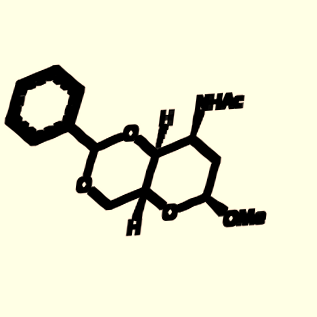 CO[C@@H]1C[C@H](NC(C)=O)[C@@H]2OC(c3ccccc3)OC[C@H]2O1